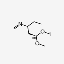 C=NC(CC)C[C@H](OC)OI